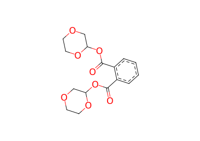 O=C(OC1COCCO1)c1ccccc1C(=O)OC1COCCO1